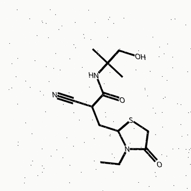 CCN1C(=O)CSC1CC(C#N)C(=O)NC(C)(C)CO